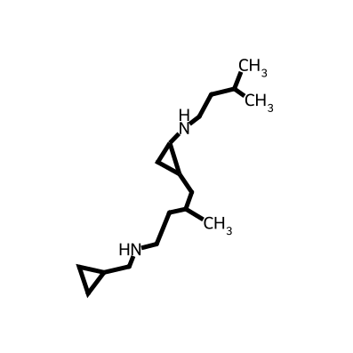 CC(C)CCNC1CC1CC(C)CCNCC1CC1